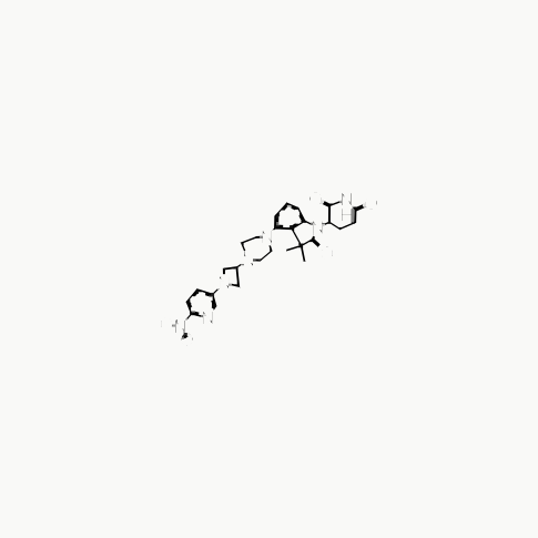 CC1(C)C(=O)N(C2CCC(=O)NC2=O)c2cccc(N3CCN(C4CN(c5ccc([N+](=O)[O-])nc5)C4)CC3)c21